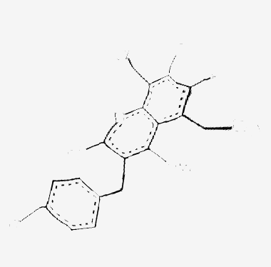 COc1c(Cc2ccc(Cl)cc2)c(C)nc2c(Cl)c(F)c(F)c(CC(=O)O)c12